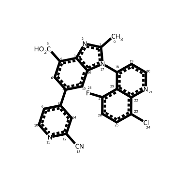 Cc1nc2c(C(=O)O)cc(-c3ccnc(C#N)c3)cc2n1-c1ccnc2c(Cl)ccc(F)c12